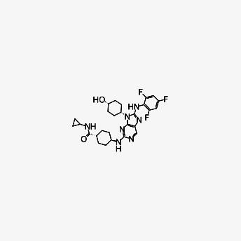 O=C(NC1CC1)[C@H]1CC[C@H](Nc2ncc3nc(Nc4c(F)cc(F)cc4F)n([C@H]4CC[C@@H](O)CC4)c3n2)CC1